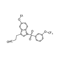 CCOc1ccc2c(c1)c(CCC=O)cn2S(=O)(=O)c1cccc(OC(F)(F)F)c1